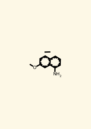 CC.COc1ccc2cccc(N)c2c1